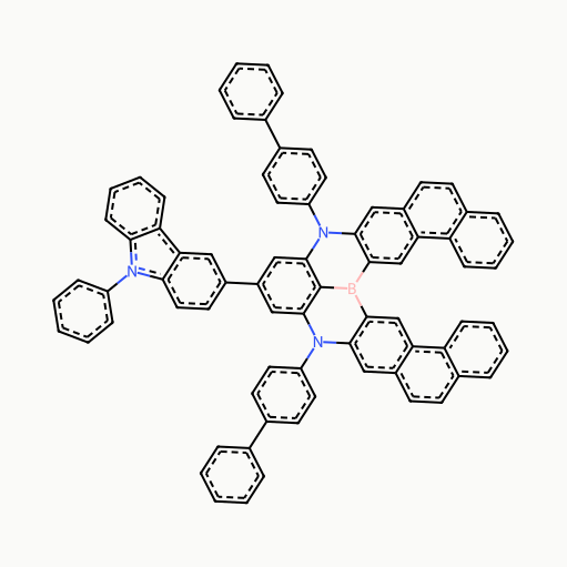 c1ccc(-c2ccc(N3c4cc5ccc6ccccc6c5cc4B4c5cc6c(ccc7ccccc76)cc5N(c5ccc(-c6ccccc6)cc5)c5cc(-c6ccc7c(c6)c6ccccc6n7-c6ccccc6)cc3c54)cc2)cc1